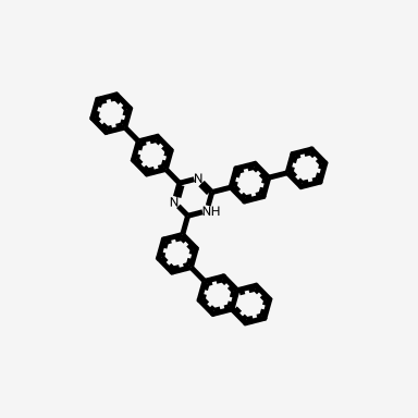 c1ccc(-c2ccc(C3=NC(c4cccc(-c5ccc6ccccc6c5)c4)NC(c4ccc(-c5ccccc5)cc4)=N3)cc2)cc1